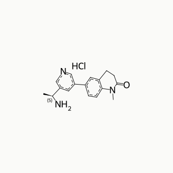 C[C@H](N)c1cncc(-c2ccc3c(c2)CCC(=O)N3C)c1.Cl